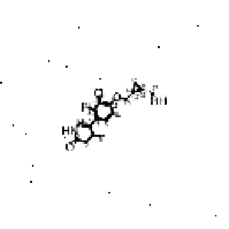 CC1CC(=O)NN=C1c1ccc(OC[C@H]2C[C@@H]2CO)c(Cl)c1F